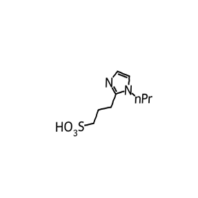 CCCn1ccnc1CCCS(=O)(=O)O